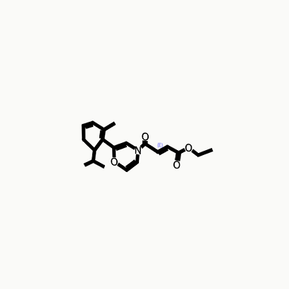 CCOC(=O)/C=C/C(=O)N1C=COC(C2=C(C)C=CCC2C(C)C)=C1